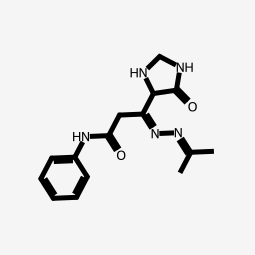 CC(C)=NN=C(CC(=O)Nc1ccccc1)C1NCNC1=O